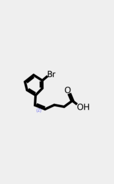 O=C(O)CC/C=C\c1cccc(Br)c1